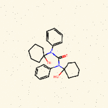 O=C(N(c1ccccc1)C1(O)CCCCC1)N(c1ccccc1)C1(O)CCCCC1